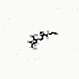 C[C@@H](O)[C@H]1C(=O)N2C(C(=O)O)=C(S/C=C\c3scnc3C(=O)NCCC#N)[C@H](C)[C@@H]12